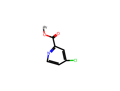 CC(C)OC(=O)c1cc(Cl)ccn1